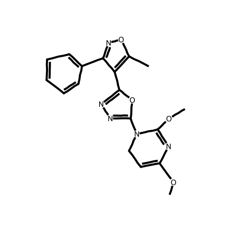 COC1=CCN(c2nnc(-c3c(-c4ccccc4)noc3C)o2)C(OC)=N1